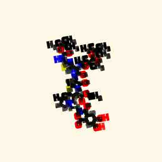 BOC(=O)C1=C(C[N+]2(CCn3oc(=O)c4cc(O)c(O)cc4c3=O)CCCC2)[C@H](C)S[C@@H]2[C@H](NC(=O)/C(=N\OC(C)(C)C(=O)OC(C)(C)C)c3csc(NC(=O)OC(C)(C)C)n3)C(=O)N12